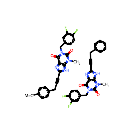 COc1ccc(CC#Cc2nc3c(=O)n(Cc4ccc(F)c(F)c4)c(=O)n(C)c3[nH]2)cc1.Cn1c(=O)n(Cc2ccc(F)c(F)c2)c(=O)c2nc(C#CCc3ccccc3)[nH]c21